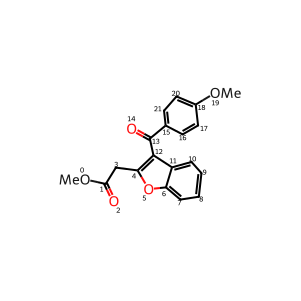 COC(=O)Cc1oc2ccccc2c1C(=O)c1ccc(OC)cc1